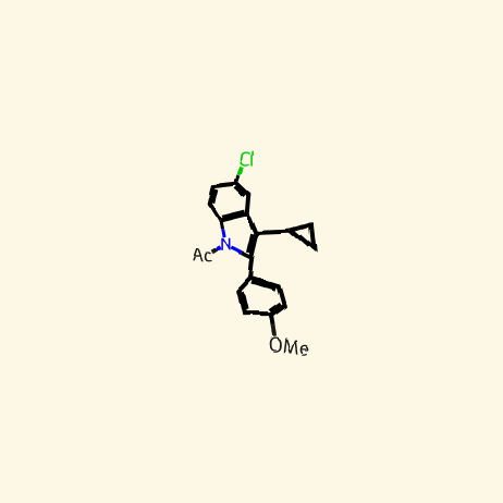 COc1ccc(-c2c(C3CC3)c3cc(Cl)ccc3n2C(C)=O)cc1